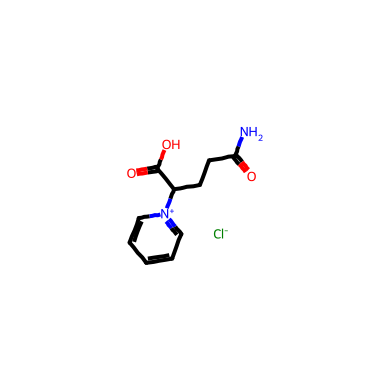 NC(=O)CCC(C(=O)O)[n+]1ccccc1.[Cl-]